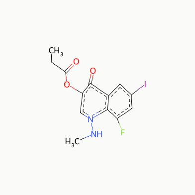 CCC(=O)Oc1cn(NC)c2c(F)cc(I)cc2c1=O